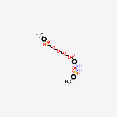 Cc1ccc(S(=O)(=O)CCCOCCOCCOCCOC(=O)c2ccc(NC(=O)NS(=O)(=O)c3ccc(C)cc3)cc2)cc1